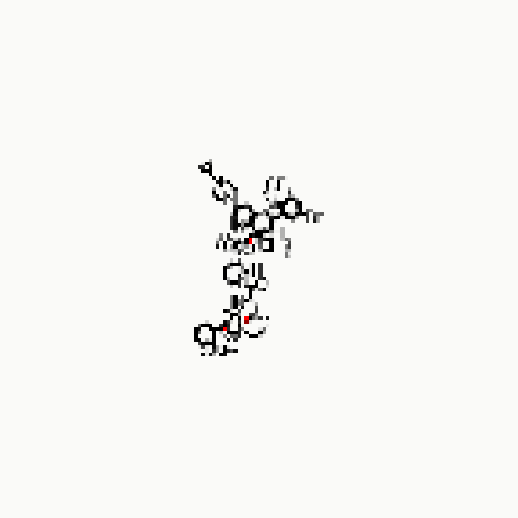 CO[C@@H](C)c1ncc(N2CCN(C3CC3)CC2)cc1-c1c(CC(C)(C)COC(=O)[C@@H]2CCCN(C(=O)[C@H](C[C@H]3CN(C(=O)OC(C)(C)C)CCO3)NC(=O)OCc3ccccc3)N2)c2cc(Br)ccc2n1CC(F)(F)F